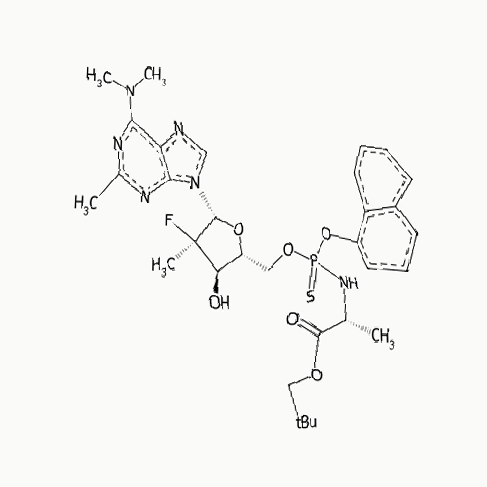 Cc1nc(N(C)C)c2ncn([C@@H]3O[C@H](COP(=S)(N[C@H](C)C(=O)OCC(C)(C)C)Oc4cccc5ccccc45)[C@@H](O)[C@@]3(C)F)c2n1